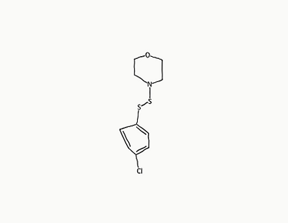 Clc1ccc(SSN2CCOCC2)cc1